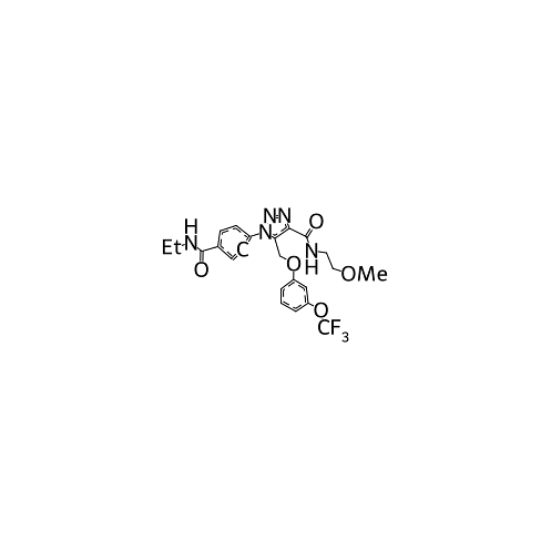 CCNC(=O)c1ccc(-n2nnc(C(=O)NCCOC)c2COc2cccc(OC(F)(F)F)c2)cc1